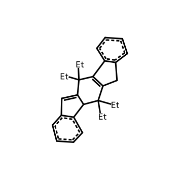 CCC1(CC)C2=Cc3ccccc3C2C(CC)(CC)C2=C1c1ccccc1C2